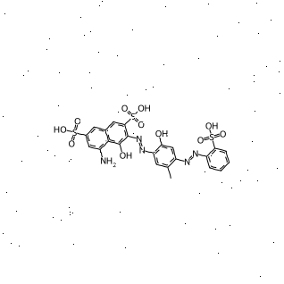 Cc1cc(N=Nc2c(S(=O)(=O)O)cc3cc(S(=O)(=O)O)cc(N)c3c2O)c(O)cc1N=Nc1ccccc1S(=O)(=O)O